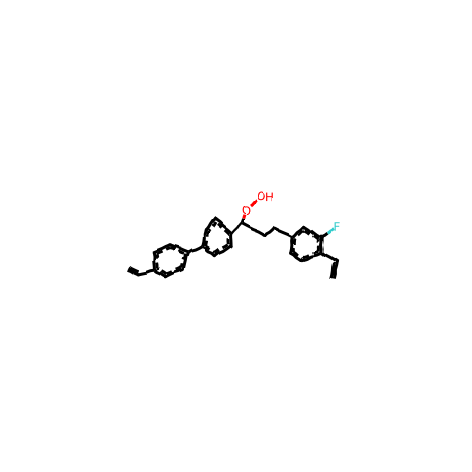 C=Cc1ccc(-c2ccc(C(CCc3ccc(C=C)c(F)c3)OO)cc2)cc1